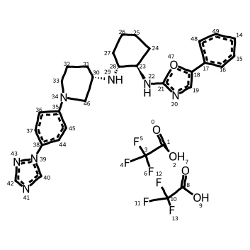 O=C(O)C(F)(F)F.O=C(O)C(F)(F)F.c1ccc(-c2cnc(N[C@@H]3CCCC[C@H]3N[C@H]3CCCN(c4ccc(-n5cncn5)cc4)C3)o2)cc1